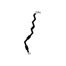 CCC#CCC#CC/C=C/CCCOC(C)=O